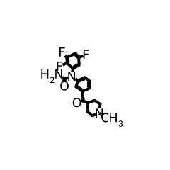 CN1CCC(C(=O)c2cccc(N(C(N)=O)c3cc(F)cc(F)c3F)c2)CC1